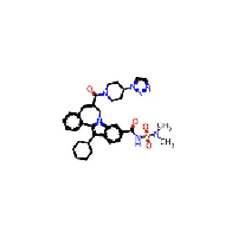 CN(C)S(=O)(=O)NC(=O)c1ccc2c(C3CCCCC3)c3n(c2c1)CC(C(=O)N1CCC(n2ccnn2)CC1)=Cc1ccccc1-3